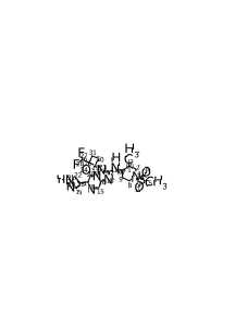 C[C@@H]1CN(S(C)(=O)=O)CC[C@@H]1Nc1nc2cnc(-c3cn[nH]c3)c(OC3(C(F)F)CCC3)n2n1